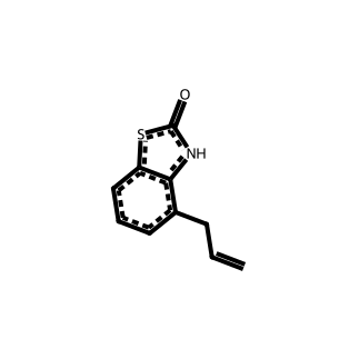 C=CCc1cccc2sc(=O)[nH]c12